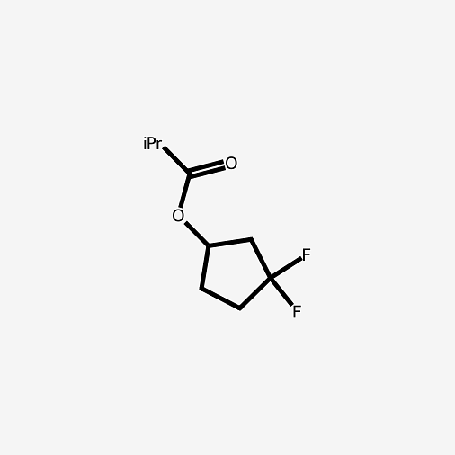 CC(C)C(=O)OC1CCC(F)(F)C1